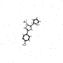 CC(=O)N1N=C(c2ccc(Cl)cc2)CC1c1cccs1